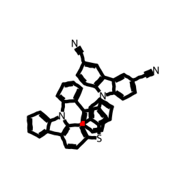 N#Cc1ccc2c(c1)c1cc(C#N)ccc1n2-c1ccccc1-c1ccccc1-n1c2ccccc2c2ccc3sc4ccccc4c3c21